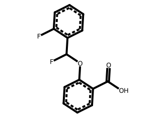 O=C(O)c1ccccc1OC(F)c1ccccc1F